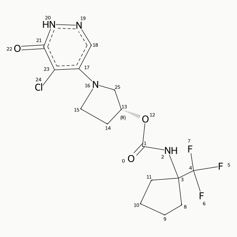 O=C(NC1(C(F)(F)F)CCCC1)O[C@@H]1CCN(c2cn[nH]c(=O)c2Cl)C1